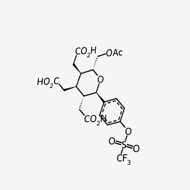 CC(=O)OC[C@@H]1O[C@@H](c2ccc(OS(=O)(=O)C(F)(F)F)cc2)[C@H](CC(=O)O)[C@@H](CC(=O)O)[C@H]1CC(=O)O